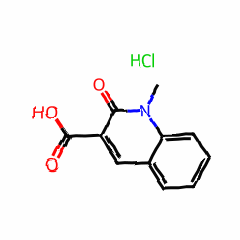 Cl.Cn1c(=O)c(C(=O)O)cc2ccccc21